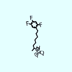 CO[SiH](OC)OC(C)CCCCCCc1cc(F)c(F)cc1F